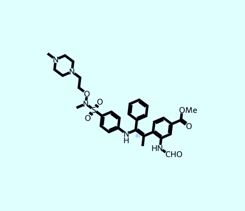 COC(=O)c1ccc(/C(C)=C(/Nc2ccc(S(=O)(=O)N(C)OCCN3CCN(C)CC3)cc2)c2ccccc2)c(NC=O)c1